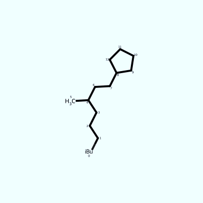 CCC(C)CCCC(C)CCC1CCCC1